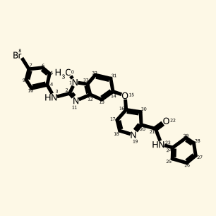 Cn1c(Nc2ccc(Br)cc2)nc2cc(Oc3ccnc(C(=O)Nc4ccccc4)c3)ccc21